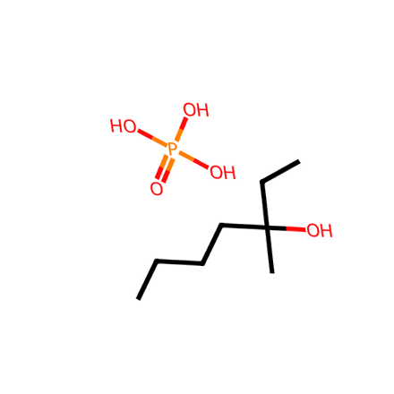 CCCCC(C)(O)CC.O=P(O)(O)O